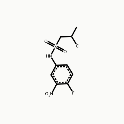 CC(Cl)CS(=O)(=O)Nc1ccc(F)c([N+](=O)[O-])c1